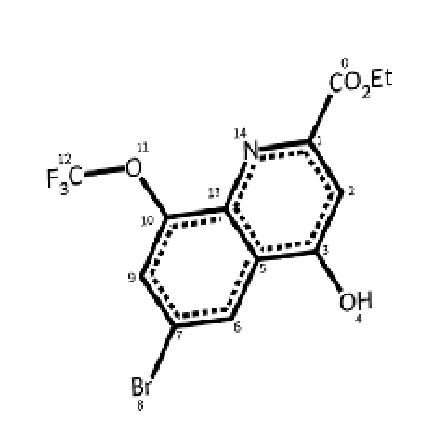 CCOC(=O)c1cc(O)c2cc(Br)cc(OC(F)(F)F)c2n1